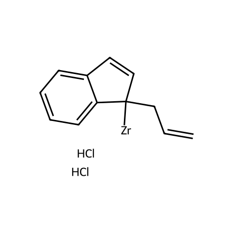 C=CC[C]1([Zr])C=Cc2ccccc21.Cl.Cl